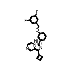 N[N+]12C=CN=CC1=C(C1=CC=C1)N=C2c1cccc(OCc2cc(F)cc(F)c2)c1